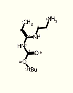 CC=C(NCCN)NC(=O)OC(C)(C)C